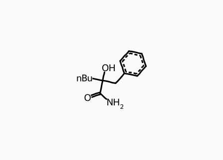 CCCCC(O)(Cc1ccccc1)C(N)=O